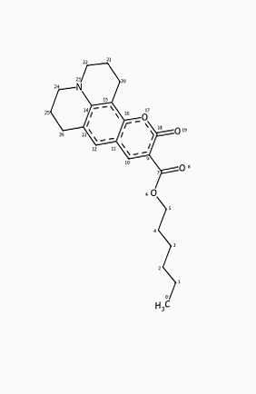 CCCCCCOC(=O)c1cc2cc3c4c(c2oc1=O)CCCN4CCC3